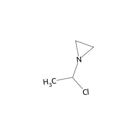 CC(Cl)N1CC1